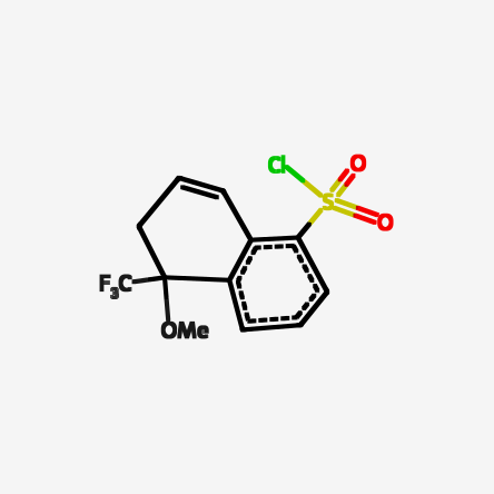 COC1(C(F)(F)F)CC=Cc2c1cccc2S(=O)(=O)Cl